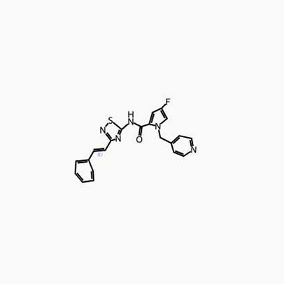 O=C(Nc1nc(/C=C/c2ccccc2)ns1)c1cc(F)cn1Cc1ccncc1